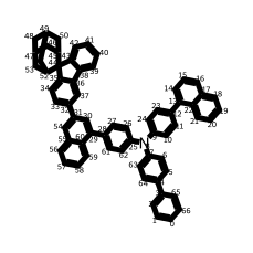 c1ccc(-c2ccc(N(c3ccc(-c4cccc5ccccc45)cc3)c3ccc(-c4cc(-c5ccc6c(c5)-c5ccccc5C65C6CC7CC(C6)CC5C7)cc5ccccc45)cc3)cc2)cc1